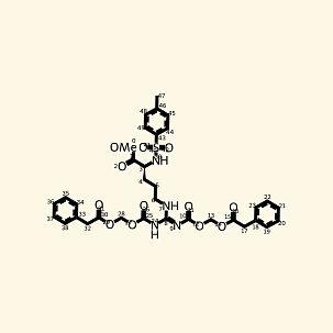 COC(=O)[C@H](CCCN/C(=N\C(=O)OCOC(=O)Cc1ccccc1)NC(=O)OCOC(=O)Cc1ccccc1)NS(=O)(=O)c1ccc(C)cc1